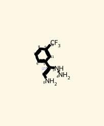 N/C=C(\NN)c1cccc(C(F)(F)F)c1